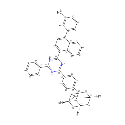 N#Cc1cccc(-c2ccc(-c3nc(-c4ccccc4)nc(-c4ccc(C56C[C@H]7C[C@H](C5)C[C@@H](C6)C7)cc4)n3)c3ccccc23)c1